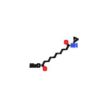 COC(=O)CCCCCCCCC(=O)NC1CC1